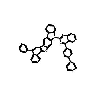 c1ccc(-c2ccc(-c3nc(-n4c5ccccc5c5cc6c(cc54)oc4c5ccccc5c(-c5ccccc5)cc64)nc4ccccc34)cc2)cc1